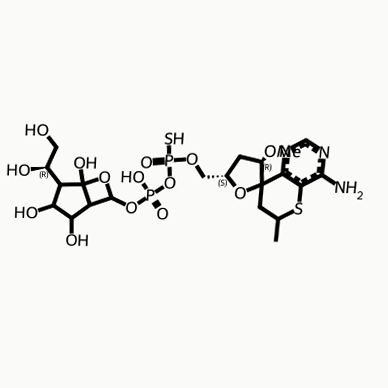 CO[C@@H]1C[C@@H](COP(=O)(S)OP(=O)(O)OC2OC3(O)C2C(O)C(O)C3[C@@H](O)CO)OC12CC(C)Sc1c(N)ncnc12